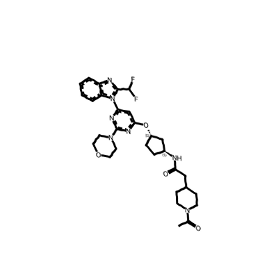 CC(=O)N1CCC(CC(=O)N[C@H]2CC[C@H](Oc3cc(-n4c(C(F)F)nc5ccccc54)nc(N4CCOCC4)n3)C2)CC1